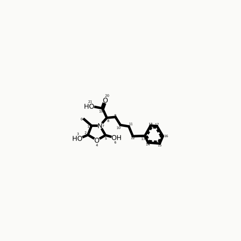 CC1C(O)OC(O)N1C(CCCCc1ccccc1)C(=O)O